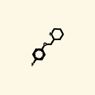 Fc1ccc(OCC2CCCC[N]2)cc1